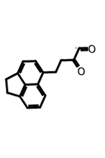 O=[C]C(=O)CCc1ccc2c3c(cccc13)CC2